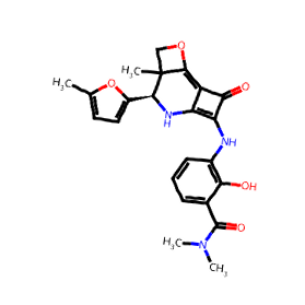 Cc1ccc([C@@H]2NC3=C(Nc4cccc(C(=O)N(C)C)c4O)C(=O)C3=C3OCC32C)o1